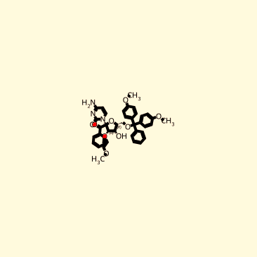 COCCO[C@@H]1[C@H](O)[C@@H](COC(c2ccccc2)(c2ccc(OC)cc2)c2ccc(OC)cc2)O[C@@]1(C(=O)c1ccccc1)n1ccc(N)nc1=O